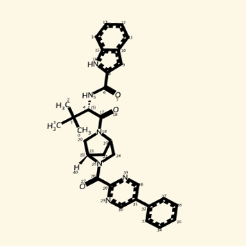 CC(C)(C)[C@H](NC(=O)c1cc2ccccc2[nH]1)C(=O)N1C[C@@H]2CC1CN2C(=O)c1ncc(-c2ccccc2)cn1